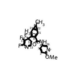 COc1ccc(NC(=O)c2c(C3(C)CC=NC(F)=C3F)c3oc2c2c3[C@H]2C)cn1